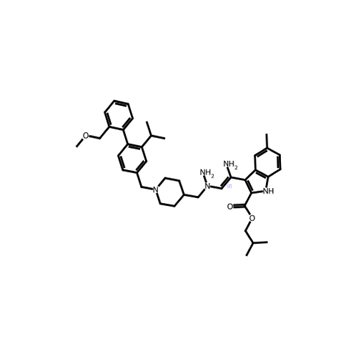 COCc1ccccc1-c1ccc(CN2CCC(CN(N)/C=C(\N)c3c(C(=O)OCC(C)C)[nH]c4ccc(C)cc34)CC2)cc1C(C)C